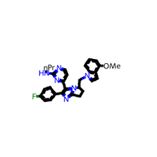 CCCNc1nccc(-c2c(-c3ccc(F)cc3)nc3n2C(Cn2ccc4c(OC)cccc42)CC3)n1